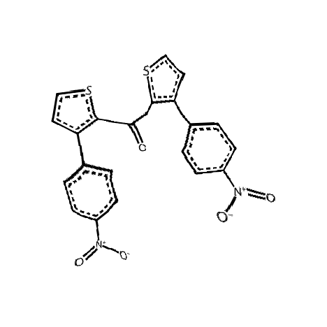 O=C(c1sccc1-c1ccc([N+](=O)[O-])cc1)c1sccc1-c1ccc([N+](=O)[O-])cc1